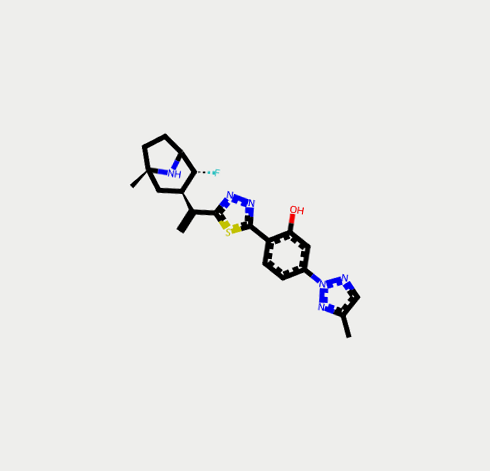 C=C(c1nnc(-c2ccc(-n3ncc(C)n3)cc2O)s1)[C@H]1C[C@]2(C)CCC(N2)[C@@H]1F